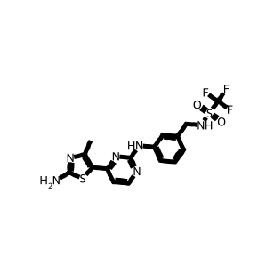 Cc1nc(N)sc1-c1ccnc(Nc2cccc(CNS(=O)(=O)C(F)(F)F)c2)n1